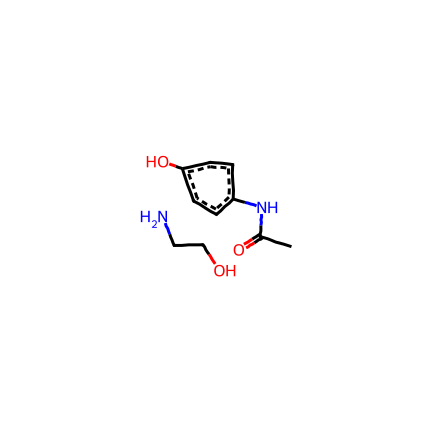 CC(=O)Nc1ccc(O)cc1.NCCO